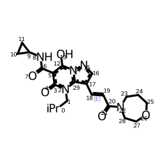 CC(C)Cn1c(=O)c(C(=O)NC2CC2)c(O)n2ncc(/C=C/C(=O)N3CCCOCC3)c12